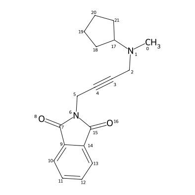 CN(CC#CCN1C(=O)c2ccccc2C1=O)C1CCCC1